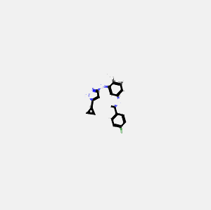 CC(Nc1cc(C#N)c([N+](=O)[O-])c(Nc2cc(C3CC3)[nH]n2)c1)c1ccc(F)cc1